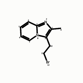 Cc1nc2ccccn2c1CCBr